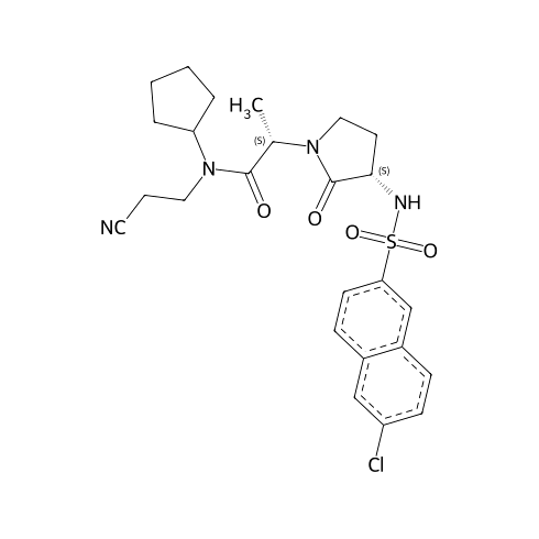 C[C@@H](C(=O)N(CCC#N)C1CCCC1)N1CC[C@H](NS(=O)(=O)c2ccc3cc(Cl)ccc3c2)C1=O